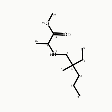 CCCC(C)(CC)CNC(C)C(=O)OC